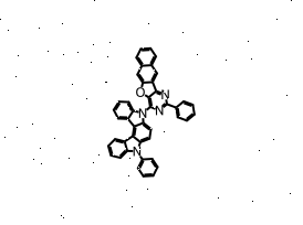 c1ccc(-c2nc(-n3c4ccccc4c4c5c6ccccc6n(-c6ccccc6)c5ccc43)c3oc4cc5ccccc5cc4c3n2)cc1